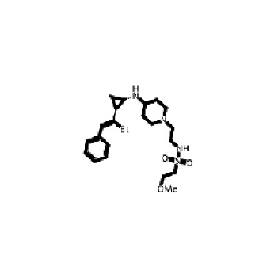 CC/C(=C\c1ccccc1)[C@H]1C[C@@H]1NC1CCN(CCNS(=O)(=O)CCOC)CC1